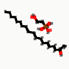 CCCCCCCCCCCCCCCCC[C](=O)[Na].O=S(=O)(O)CCO